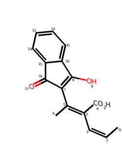 C/C=C\C(C(=O)O)=C(/C)C1=C(O)c2ccccc2C1=O